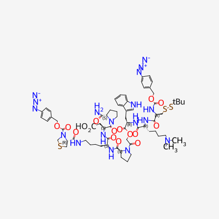 CN(C)CCCC[C@@H](NC(=O)[C@H](CSSC(C)(C)C)NC(=O)OCc1ccc(N=[N+]=[N-])cc1)C(=O)N[C@H](Cc1c[nH]c2ccccc12)C(=O)OCC(=O)N1CCC[C@H]1C(=O)N[C@@H](CCCCNC(=O)[C@@H]1CSCN1C(=O)OCc1ccc(N=[N+]=[N-])cc1)C(=O)N[C@@H](CC(=O)O)C(=O)N1CCC[C@H]1C(N)=O